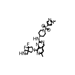 Cc1cc2cnc(NC3CCN(S(=O)(=O)c4cnn(C)c4)CC3)nc2c(N2CC(F)(F)C3(CNC3)C2)n1